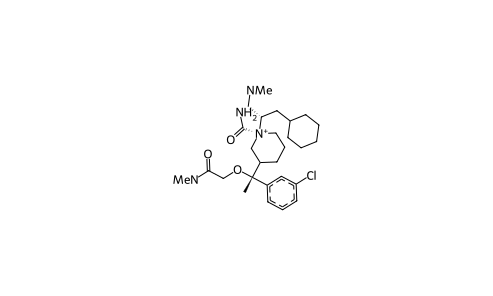 CNC[C@H](CC1CCCCC1)[N@@+]1(C(N)=O)CCCC([C@@](C)(OCC(=O)NC)c2cccc(Cl)c2)C1